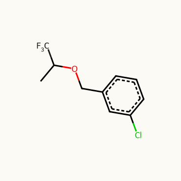 CC(OCc1cccc(Cl)c1)C(F)(F)F